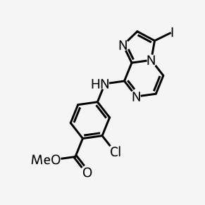 COC(=O)c1ccc(Nc2nccn3c(I)cnc23)cc1Cl